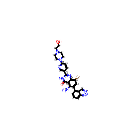 Nc1c(-c2cccc3[nH]ncc23)cc(Br)c2nc(-c3ccc(N4CCN(CCO)CC4)nc3)[nH]c(=O)c12